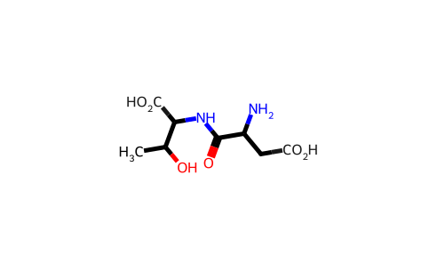 CC(O)C(NC(=O)C(N)CC(=O)O)C(=O)O